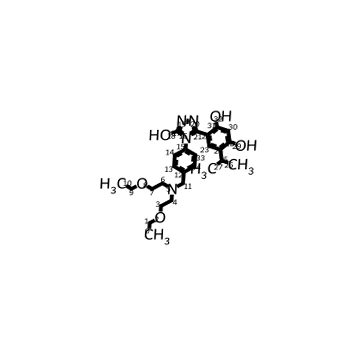 CCOCCN(CCOCC)Cc1ccc(-n2c(O)nnc2-c2cc(C(C)C)c(O)cc2O)cc1